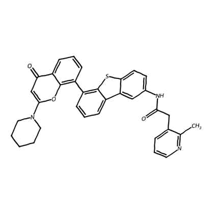 Cc1ncccc1CC(=O)Nc1ccc2sc3c(-c4cccc5c(=O)cc(N6CCCCC6)oc45)cccc3c2c1